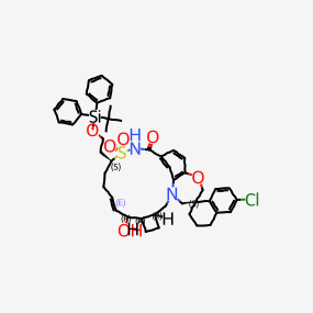 CC(C)(C)[Si](OCC[C@@H]1CC/C=C/[C@H](O)[C@@H]2CC[C@H]2CN2C[C@@]3(CCCc4cc(Cl)ccc43)COc3ccc(cc32)C(=O)NS1(=O)=O)(c1ccccc1)c1ccccc1